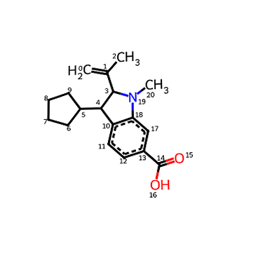 C=C(C)C1C(C2CCCC2)c2ccc(C(=O)O)cc2N1C